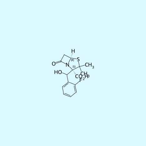 CC1(C)S[C@@H]2CC(=O)N2[C@]1(C(=O)O)C(O)c1ccccc1F